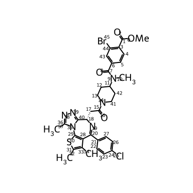 COC(=O)c1ccc(C(=O)N(C)C2CCN(C(=O)C[C@@H]3N=C(c4ccc(Cl)cc4)c4c(sc(C)c4C)-n4c(C)nnc43)CC2)cc1Br